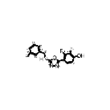 Oc1ccc(-c2nnc(NCc3cccc(F)c3)o2)c(F)c1F